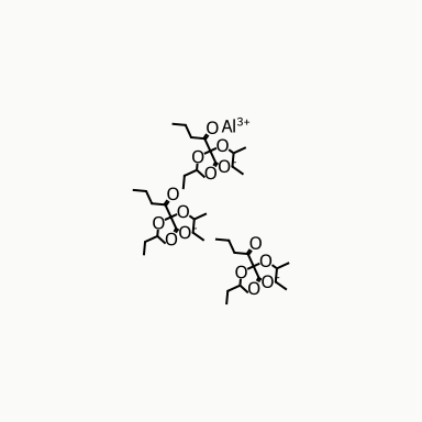 CCCC(=O)C(OC(C)CC)(OC(C)CC)C(=O)[O-].CCCC(=O)C(OC(C)CC)(OC(C)CC)C(=O)[O-].CCCC(=O)C(OC(C)CC)(OC(C)CC)C(=O)[O-].[Al+3]